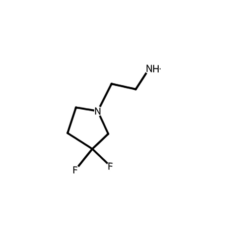 [NH]CCN1CCC(F)(F)C1